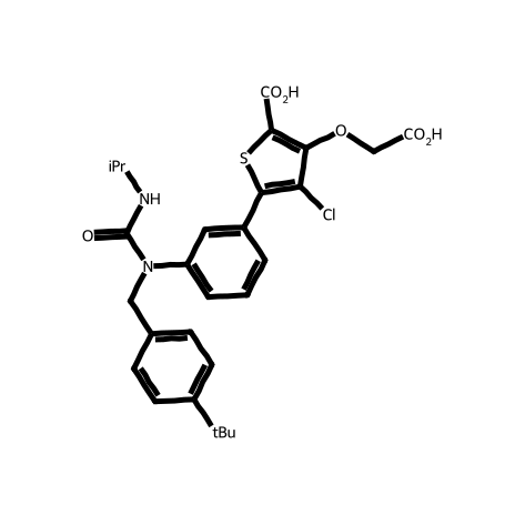 CC(C)NC(=O)N(Cc1ccc(C(C)(C)C)cc1)c1cccc(-c2sc(C(=O)O)c(OCC(=O)O)c2Cl)c1